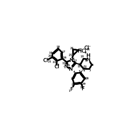 Cl.Fc1ccc([C@H]2CCNC[C@@H]2C2=N[N+]=C(c3cccc(Cl)c3Cl)N2C2CC2)cc1F.[Cl-]